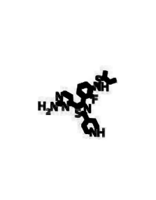 CCC(C)SNc1cccc(-c2nc(C3CCNCC3)sc2-c2ccnc(N)n2)c1F